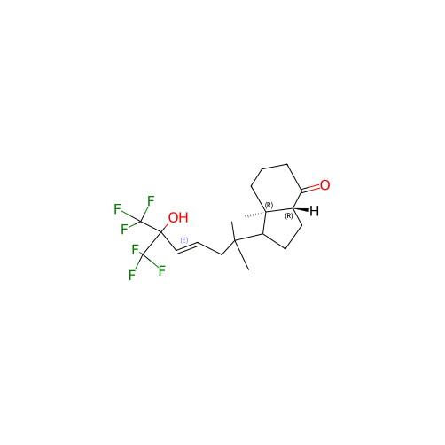 CC(C)(C/C=C/C(O)(C(F)(F)F)C(F)(F)F)C1CC[C@H]2C(=O)CCC[C@]12C